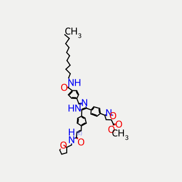 CCCCCCCCCCCCNC(=O)c1ccc(-c2nc(-c3ccc(C4=NOC(C(=O)OC)C4)cc3)c(-c3ccc(/C=C/C(=O)NCC4CCCO4)cc3)[nH]2)cc1